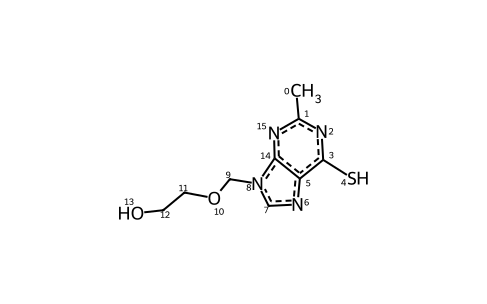 Cc1nc(S)c2ncn(COCCO)c2n1